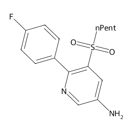 CCCCCS(=O)(=O)c1cc(N)cnc1-c1ccc(F)cc1